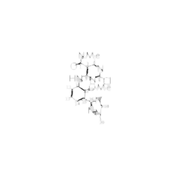 CNC(=O)c1cnc(Cl)nc1Nc1cccc(-c2ncn(C)n2)c1OC